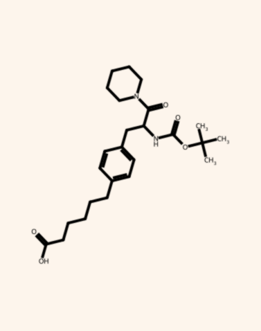 CC(C)(C)OC(=O)NC(Cc1ccc(CCCCCC(=O)O)cc1)C(=O)N1CCCCC1